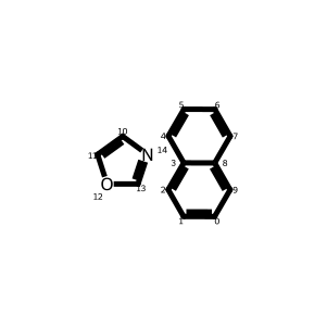 c1ccc2ccccc2c1.c1cocn1